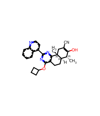 C[C@H]1C(O)=C(C#N)C[C@@]2(C)c3nc(-c4ccnc5ccccc45)nc(OC4CCC4)c3CC[C@H]12